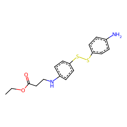 CCOC(=O)CCNc1ccc(SSc2ccc(N)cc2)cc1